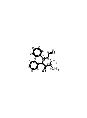 C[C@H](N)C(=O)C(c1ccccc1)N(C[C]=O)c1ccccc1